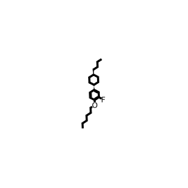 CCCCCCOc1ccc([C@H]2CC[C@H](CCCC)CC2)cc1F